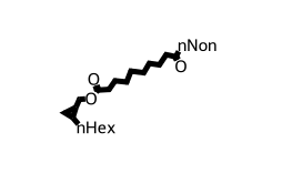 CCCCCCCCCC(=O)CCCCCCCCC(=O)OCC1CC1CCCCCC